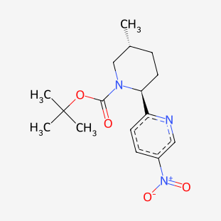 C[C@@H]1CC[C@@H](c2ccc([N+](=O)[O-])cn2)N(C(=O)OC(C)(C)C)C1